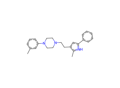 Cc1cccc(N2CCN(CCc3cc(-c4ccccc4)[nH]c3C)CC2)c1